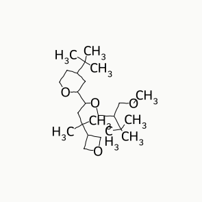 COCC(COC(CC(C)(C)C1COC1)C1CC(C(C)(C)C)CCO1)C(C)(C)C